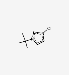 CC(C)(C)[n+]1ccn(Cl)c1